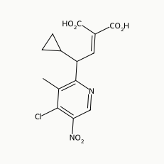 Cc1c(C(C=C(C(=O)O)C(=O)O)C2CC2)ncc([N+](=O)[O-])c1Cl